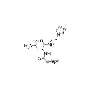 CCCCCCCC(=O)N[C@H](CC(=N)N)C(=O)NCCn1cnnc1